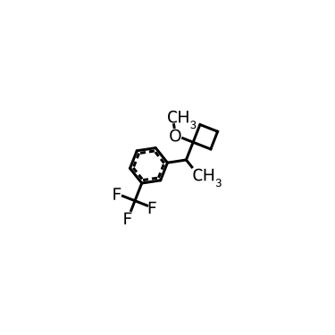 COC1(C(C)c2cccc(C(F)(F)F)c2)CCC1